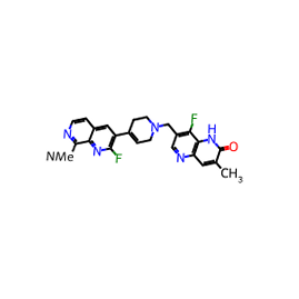 CNc1nccc2cc(C3=CCN(Cc4cnc5cc(C)c(=O)[nH]c5c4F)CC3)c(F)nc12